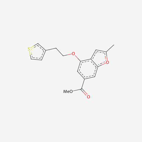 COC(=O)c1cc(OCCc2ccsc2)c2cc(C)oc2c1